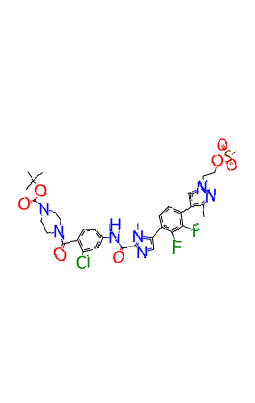 Cc1nn(CCOS(C)(=O)=O)cc1-c1ccc(-c2cnc(C(=O)Nc3ccc(C(=O)N4CCN(C(=O)OC(C)(C)C)CC4)c(Cl)c3)n2C)c(F)c1F